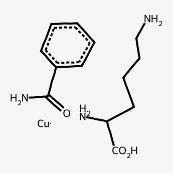 NC(=O)c1ccccc1.NCCCCC(N)C(=O)O.[Cu]